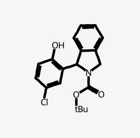 CC(C)(C)OC(=O)N1Cc2ccccc2C1c1cc(Cl)ccc1O